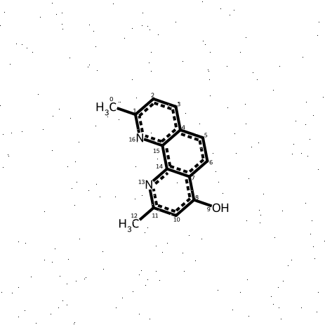 Cc1ccc2ccc3c(O)cc(C)nc3c2n1